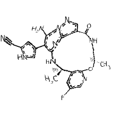 C[C@H]1CNC(=O)c2cnn3c(N)c(-c4c[nH]c(C#N)c4)c(nc23)N[C@H](C)c2cc(F)cnc2O1